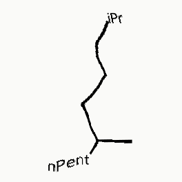 [CH2]CCCCC(C)CCCC(C)C